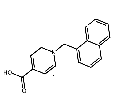 O=C(O)C1=CCN(Cc2cccc3ccccc23)C=C1